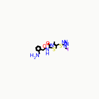 CC1=C(CSc2nnnn2CI)CSC2C(NC(=O)Cc3ccccc3CN)C(=O)N12